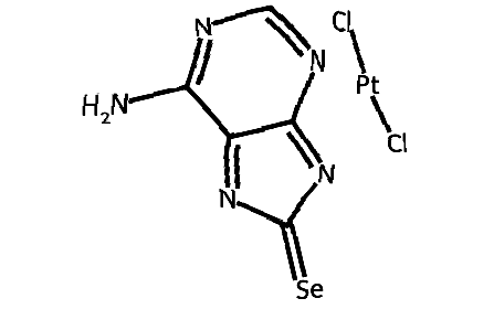 Nc1ncnc2c1=NC(=[Se])N=2.[Cl][Pt][Cl]